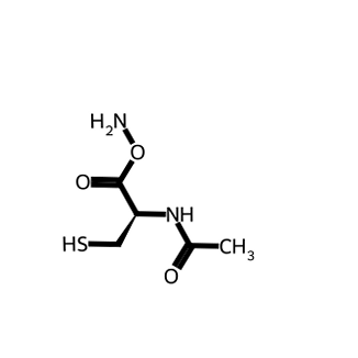 CC(=O)N[C@@H](CS)C(=O)ON